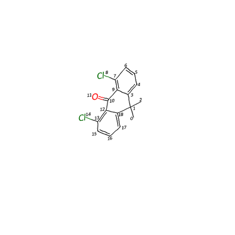 CC1(C)c2cccc(Cl)c2C(=O)c2c(Cl)cccc21